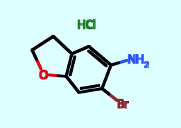 Cl.Nc1cc2c(cc1Br)OCC2